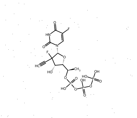 C#CC1(F)[C@@H](O)[C@@H]([C@@H](C)OP(=O)(O)OP(=O)(O)OP(=O)(O)O)O[C@H]1n1cc(F)c(=O)[nH]c1=O